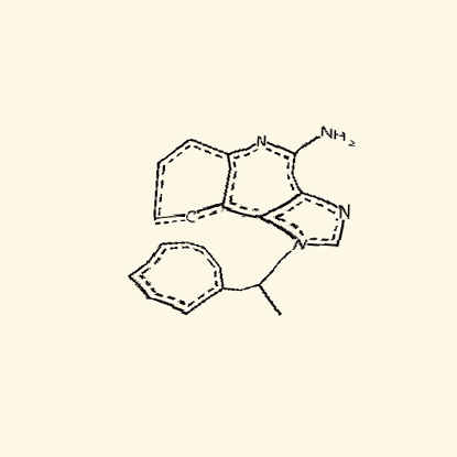 CC(c1ccccc1)n1cnc2c(N)nc3ccccc3c21